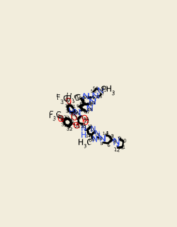 Cc1nc(N2CCC(N3CCCC3)CC2)nc2ncc(NC(=O)C(Oc3ccc(OC(F)(F)F)cc3)C(Oc3ccc(OC(F)(F)F)cc3)C(=O)Nc3cnc4nc(N5CCN(C)CC5)nc(C)c4c3)cc12